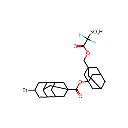 CCC1CC2C3CC4CC(C(=O)OC56CC7CC(CC(COC(=O)C(F)(F)S(=O)(=O)O)(C7)C5)C6)(C3)CC2C4C1